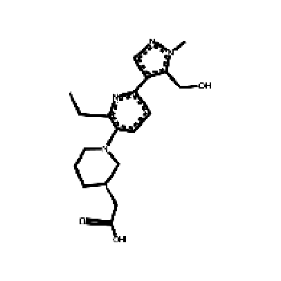 CCc1nc(-c2cnn(C)c2CO)ccc1N1CCC[C@H](CC(=O)O)C1